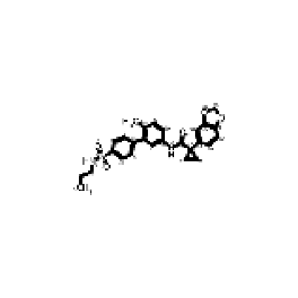 CCCNS(=O)(=O)c1ccc(-c2cc(NC(=O)C3(c4ccc5c(c4)OCO5)CC3)ccc2C)cc1